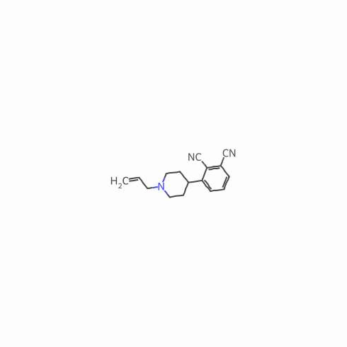 C=CCN1CCC(c2cccc(C#N)c2C#N)CC1